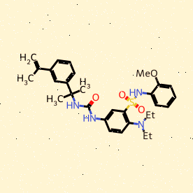 C=C(C)c1cccc(C(C)(C)NC(=O)Nc2ccc(N(CC)CC)c(S(=O)(=O)Nc3ccccc3OC)c2)c1